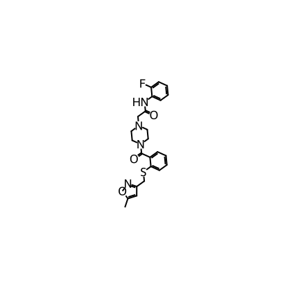 Cc1cc(CSc2ccccc2C(=O)N2CCN(CC(=O)Nc3ccccc3F)CC2)no1